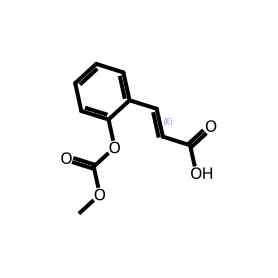 COC(=O)Oc1ccccc1/C=C/C(=O)O